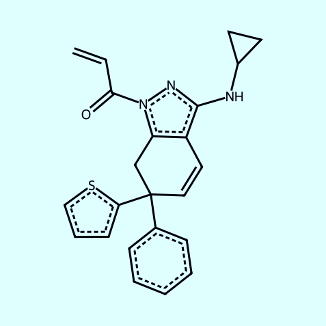 C=CC(=O)n1nc(NC2CC2)c2c1CC(c1ccccc1)(c1cccs1)C=C2